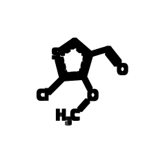 COc1c(C=O)csc1Cl